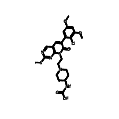 COc1cc(OC)c(Cl)c(-c2cc3cnc(SC)nc3n(CCN3CCC(NC(=O)O)CC3)c2=O)c1